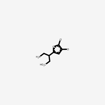 NCC(CC(=O)O)c1cc(Cl)c(Cl)o1